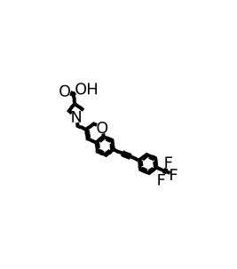 O=C(O)C1CN(CC2=Cc3ccc(C#Cc4ccc(C(F)(F)F)cc4)cc3OC2)C1